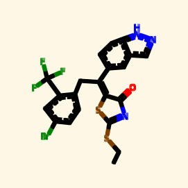 CCSC1=NC(=O)C(=C(Cc2ccc(Br)cc2C(F)(F)F)c2ccc3[nH]ncc3c2)S1